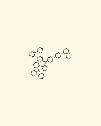 c1ccc(-c2ccccc2-c2ccc(N(c3ccc(-c4ccc(-c5cccc6ccccc56)cc4)cc3)c3cccc4c3-c3ccccc3C4(c3ccccc3)c3ccccc3)cc2)cc1